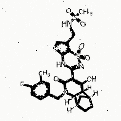 Cc1cc(CN2C(=O)C(C3=NS(=O)(=O)c4c(CNS(C)(=O)=O)csc4N3)=C(O)[C@@H]3[C@H]4CC[C@H](C4)[C@@H]32)ccc1F